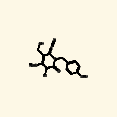 COC1=C(CO)C(=C=O)N(Cc2ccc(OC)cc2)C(=O)C1Cl